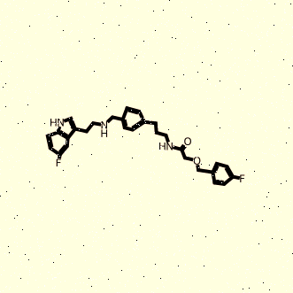 O=C(COCc1ccc(F)cc1)NCCCc1ccc(CNCCc2c[nH]c3ccc(F)cc23)cc1